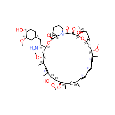 CO[C@H]1C[C@@H]2CC[C@@H](C)[C@@](O)(O2)C(=O)C(=O)N2CCCC[C@H]2C(=O)O[C@H]([C@H](N)C[C@@H]2CC[C@@H](O)[C@H](OC)C2)C[C@@H](OC)[C@H](C)/C=C(\C)[C@@H](O)[C@@H](OC)C(=O)[C@H](C)C[C@H](C)/C=C/C=C/C=C/1C